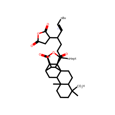 CCCC/C=C/C(CCC(CCCCCCC)C1C(C(C)C)C2CC3C4(C)CCCC(C)(C(=O)O)C4CCC13C1C(=O)OC(=O)C21)C1CC(=O)OC1=O